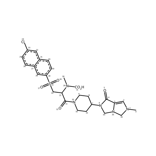 CN1C=C2C(=O)N(C3CCN(C(=O)C(CS(=O)(=O)c4ccc5cc(Cl)ccc5c4)N(C)C(=O)O)CC3)CN2C1